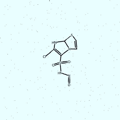 O=NNS(=O)(=O)C1=C(Cl)NC2SC=CN12